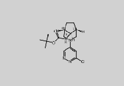 CC(C)(C)OC(=O)N[C@@H]1[C@@H]2CC[C@H]1CN(c1cnnc(Cl)c1)C2